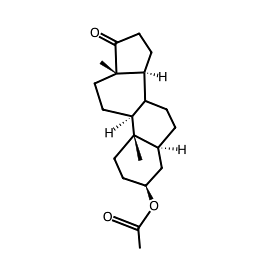 CC(=O)O[C@H]1CC[C@@]2(C)[C@@H](CCC3[C@@H]2CC[C@]2(C)C(=O)CC[C@@H]32)C1